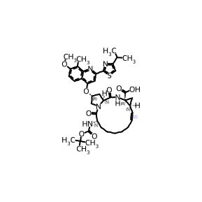 COc1ccc2c(O[C@@H]3C[C@H]4C(=O)N[C@]5(C(=O)O)C[C@H]5/C=C\CCCCC[C@H](NC(=O)OC(C)(C)C)C(=O)N4C3)cc(-c3nc(C(C)C)cs3)nc2c1C